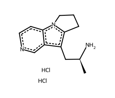 C[C@H](N)Cc1c2n(c3ccncc13)CCC2.Cl.Cl